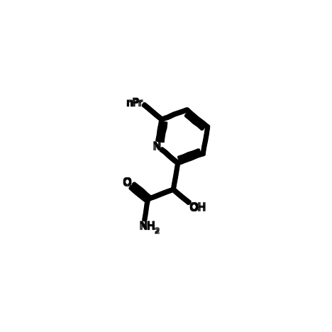 CCCc1cccc(C(O)C(N)=O)n1